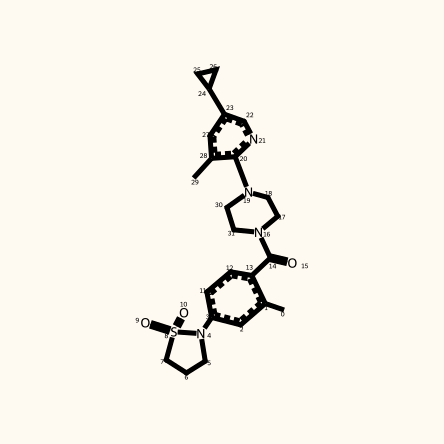 Cc1cc(N2CCCS2(=O)=O)ccc1C(=O)N1CCN(c2ncc(C3CC3)cc2C)CC1